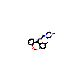 Cc1ccc2c(c1)/C(=C\CCN1CCN(C)CC1)c1ccccc1OCO2